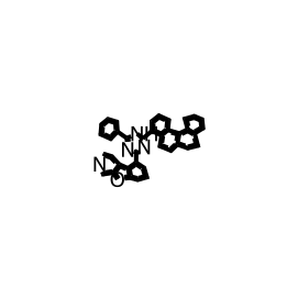 c1ccc(C2=NC(c3cccc4oc5cnccc5c34)=NC(c3cccc4c3ccc3ccc5ccccc5c34)N2)cc1